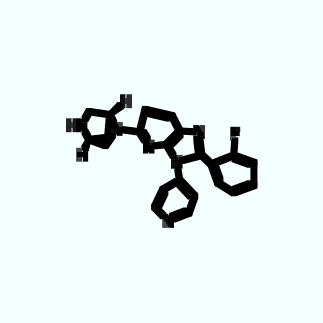 Fc1ccccc1-c1nc2ccc(N3C[C@H]4C[C@@H]3CN4)nc2n1-c1ccncc1